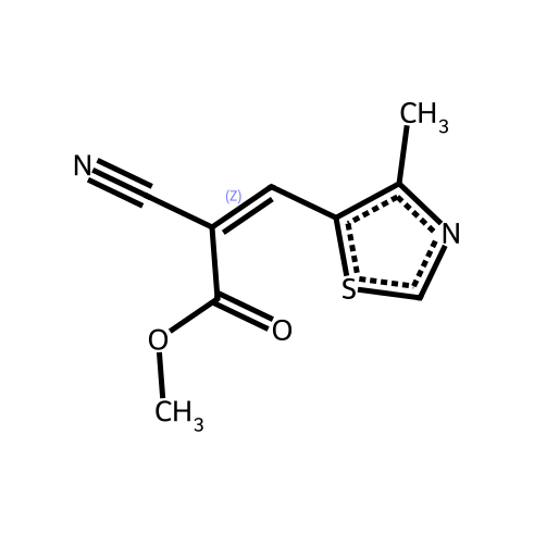 COC(=O)/C(C#N)=C\c1scnc1C